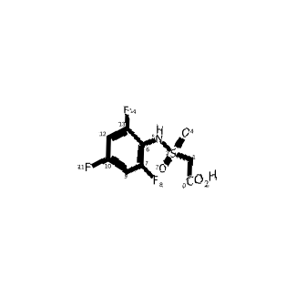 O=C(O)CS(=O)(=O)Nc1c(F)cc(F)cc1F